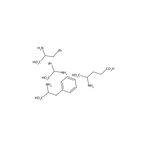 CC(C)C(N)C(=O)O.CC(C)CC(N)C(=O)O.NC(CCC(=O)O)C(=O)O.NC(Cc1ccccc1)C(=O)O